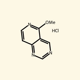 COc1nccc2ncncc12.Cl